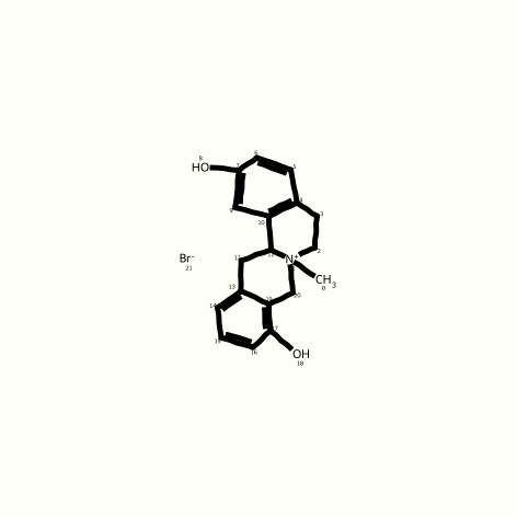 C[N+]12CCc3ccc(O)cc3C1Cc1cccc(O)c1C2.[Br-]